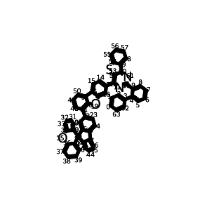 c1ccc(-c2ccccc2-c2nc(-c3ccc4c(c3)oc3c(-c5ccc6c(c5)C5(c7ccccc7Oc7ccccc75)c5ccccc5-6)cccc34)c3sc4ccccc4c3n2)cc1